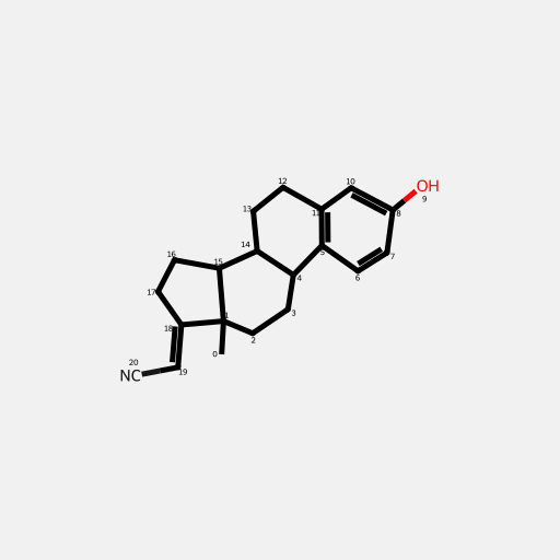 CC12CCC3c4ccc(O)cc4CCC3C1CCC2=CC#N